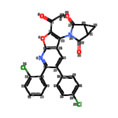 CC(C)C(=O)c1oc2nc(-c3ccccc3Cl)c(-c3ccc(Cl)cc3)cc2c1N1C(=O)C2CC2C1=O